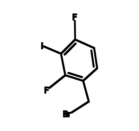 Fc1ccc(CBr)c(F)c1I